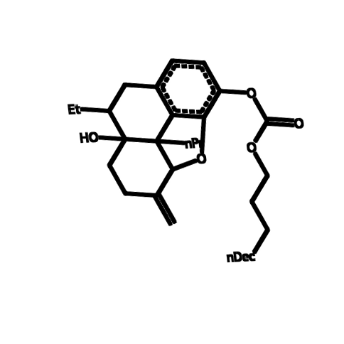 C=C1CCC2(O)C(CC)Cc3ccc(OC(=O)OCCCCCCCCCCCCC)c4c3C2(CCC)C1O4